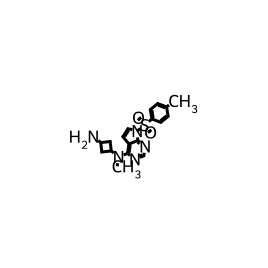 Cc1ccc(S(=O)(=O)n2ccc3c(N(C)C4CC(N)C4)ncnc32)cc1